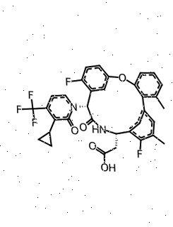 Cc1cc2cc(c1F)[C@H](CC(=O)O)NC(=O)[C@H](n1ccc(C(F)(F)F)c(C3CC3)c1=O)c1cc(ccc1F)Oc1cccc(C)c1-2